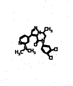 C[C@H]1CN(c2ccc(Cl)c(Cl)c2)C(=O)c2c(-c3ccnc(N(C)C)c3)cnn21